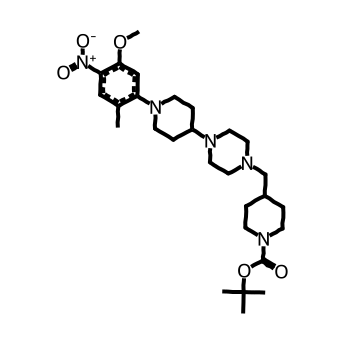 COc1cc(N2CCC(N3CCN(CC4CCN(C(=O)OC(C)(C)C)CC4)CC3)CC2)c(C)cc1[N+](=O)[O-]